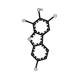 Oc1c(Cl)cc2c(oc3cc(Cl)ccc32)c1Cl